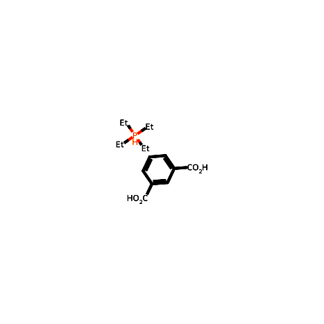 CC[PH](CC)(CC)CC.O=C(O)c1cccc(C(=O)O)c1